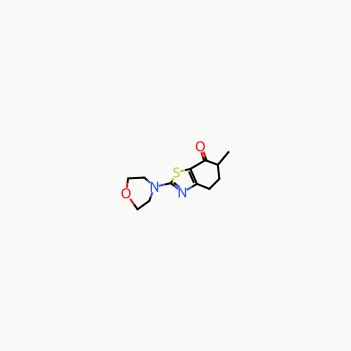 CC1CCc2nc(N3CCOCC3)sc2C1=O